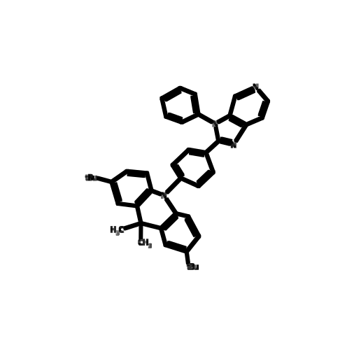 CC(C)(C)c1ccc2c(c1)C(C)(C)c1cc(C(C)(C)C)ccc1N2c1ccc(-c2nc3ccncc3n2-c2ccccc2)cc1